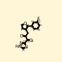 O=C(Cc1ccoc1-c1cccc(F)c1)C(=O)c1nc[nH]n1